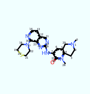 CN1CCc2c(cc(Nc3ncc4ccnc(N5CCSCC5)c4n3)c(=O)n2C)C1